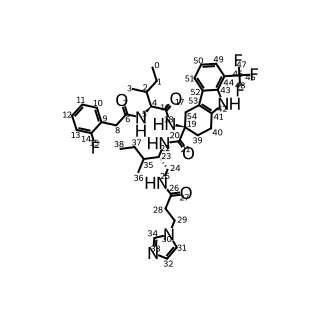 CCC(C)[C@H](NC(=O)Cc1ccccc1F)C(=O)N[C@]1(C(=O)N[C@H](CNC(=O)CCn2ccnc2)C(C)CC)CCc2[nH]c3c(C(F)(F)F)cccc3c2C1